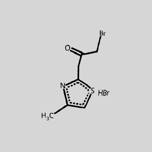 Br.Cc1csc(C(=O)CBr)n1